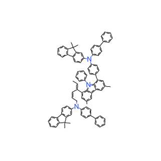 C/C=C(\C=C/CN(c1ccc(-c2ccccc2)cc1)c1ccc2c(c1)C(C)(C)c1ccccc1-2)c1cc(C)cc2c3cc(C)cc(-c4ccc(N(c5ccc(-c6ccccc6)cc5)c5ccc6c(c5)C(C)(C)c5ccccc5-6)cc4)c3n(-c3ccccc3)c12